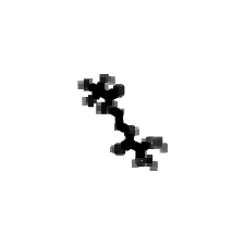 C=C(C)C(=O)OCCNC(=O)C(F)(F)F